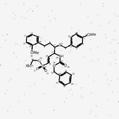 COc1ccc(CSC(CCc2ccccc2OC)C(C=CS(=O)(=O)OCC(C)(C)C)NC(=O)OCc2ccccc2)cc1